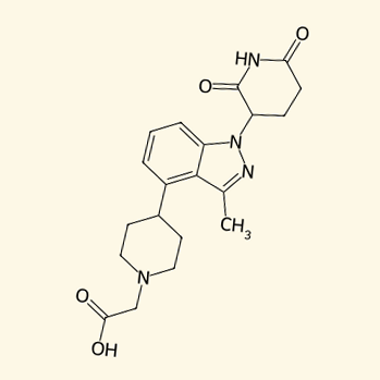 Cc1nn(C2CCC(=O)NC2=O)c2cccc(C3CCN(CC(=O)O)CC3)c12